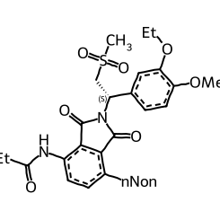 CCCCCCCCCc1ccc(NC(=O)CC)c2c1C(=O)N([C@H](CS(C)(=O)=O)c1ccc(OC)c(OCC)c1)C2=O